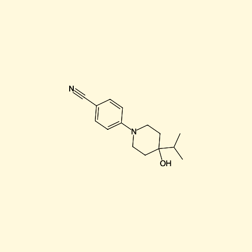 CC(C)C1(O)CCN(c2ccc(C#N)cc2)CC1